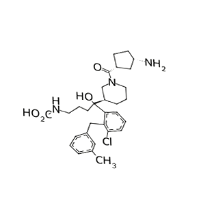 Cc1cccc(Cc2c(Cl)cccc2C(O)(CCCNC(=O)O)[C@@H]2CCCN(C(=O)[C@@H]3CC[C@H](N)C3)C2)c1